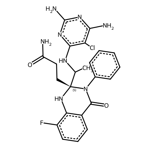 CC(Nc1nc(N)nc(N)c1Cl)[C@@]1(CCC(N)=O)Nc2c(F)cccc2C(=O)N1c1ccccc1